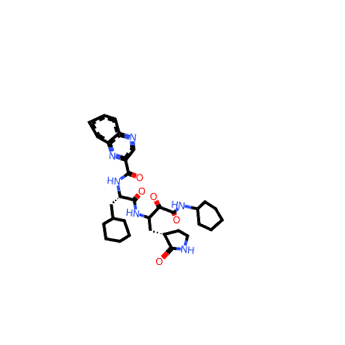 O=C(NC1CCCCC1)C(=O)C(C[C@@H]1CCNC1=O)NC(=O)[C@H](CC1CCCCC1)NC(=O)c1cnc2ccccc2n1